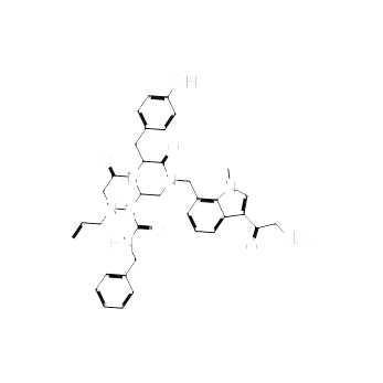 C=CCN1CC(=O)N2C(Cc3ccc(O)cc3)C(=O)N(Cc3cccc4c(C(=O)CC(C)(C)C)cn(C)c34)CC2N1C(=O)NCc1ccccc1